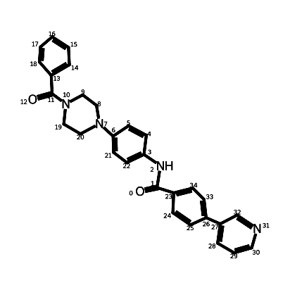 O=C(Nc1ccc(N2CCN(C(=O)c3ccccc3)CC2)cc1)c1ccc(-c2cccnc2)cc1